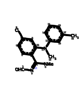 CN/C(=N/C=O)c1ccc(Cl)cc1N(C)c1cccc(C)c1